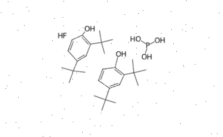 CC(C)(C)c1ccc(O)c(C(C)(C)C)c1.CC(C)(C)c1ccc(O)c(C(C)(C)C)c1.F.OP(O)O